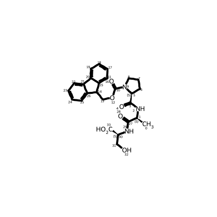 C[C@H](NC(=O)[C@@H]1CCCN1C(=O)OCC1c2ccccc2-c2ccccc21)C(=O)N[C@@H](CO)C(=O)O